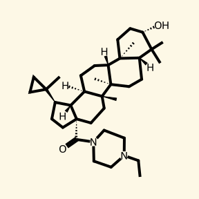 CCN1CCN(C(=O)[C@]23CC[C@@H](C4(C)CC4)[C@@H]2[C@H]2CC[C@@H]4[C@@]5(C)CC[C@H](O)C(C)(C)[C@@H]5CC[C@@]4(C)[C@]2(C)CC3)CC1